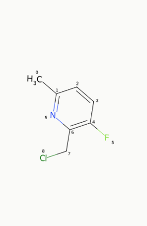 Cc1ccc(F)c(CCl)n1